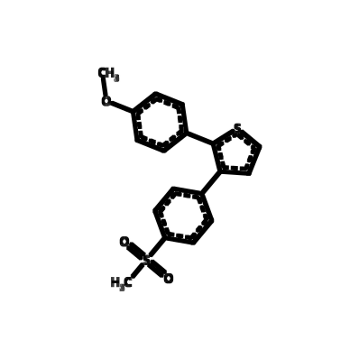 COc1ccc(-c2sccc2-c2ccc(S(C)(=O)=O)cc2)cc1